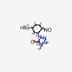 CCCCc1ccc(N=O)c(-n2nnn(C)c2=O)c1